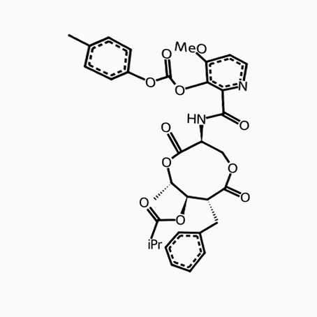 COc1ccnc(C(=O)N[C@H]2COC(=O)[C@H](Cc3ccccc3)[C@@H](OC(=O)C(C)C)[C@H](C)OC2=O)c1OC(=O)Oc1ccc(C)cc1